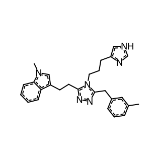 Cc1cccc(Cc2nnc(CCc3cn(C)c4ccccc34)n2CCCc2c[nH]cn2)c1